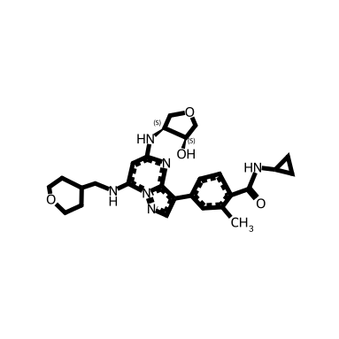 Cc1cc(-c2cnn3c(NCC4CCOCC4)cc(N[C@H]4COC[C@H]4O)nc23)ccc1C(=O)NC1CC1